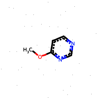 COc1ccncn1